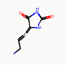 O=C1NC(=O)C(=C=CCI)N1